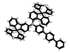 c1ccc(-c2ccc(-c3ccc(N(c4ccc5c(c4)-c4ccccc4C54c5ccccc5Oc5ccccc54)c4cccc5c4-c4ccccc4C54c5ccccc5Sc5ccccc54)cc3)cc2)cc1